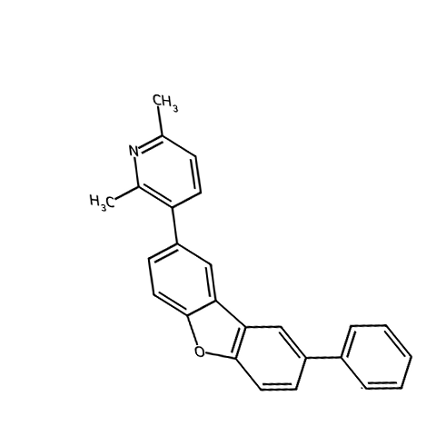 Cc1ccc(-c2ccc3oc4ccc(-c5[c]cccc5)cc4c3c2)c(C)n1